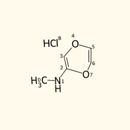 CNC1=COC=CO1.Cl